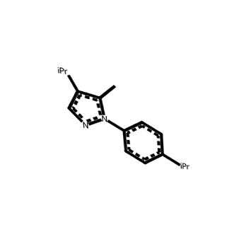 Cc1c(C(C)C)cnn1-c1ccc(C(C)C)cc1